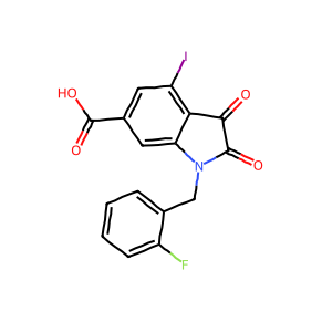 O=C(O)c1cc(I)c2c(c1)N(Cc1ccccc1F)C(=O)C2=O